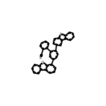 N#Cc1ccccc1-c1cc(-c2cccc3c2oc2ccccc23)ccc1-c1ccc2sc3ccccc3c2c1